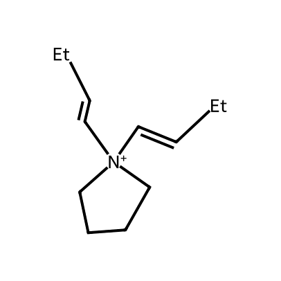 CCC=C[N+]1(C=CCC)CCCC1